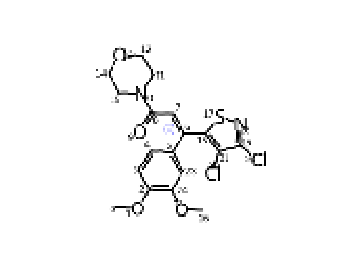 COc1ccc(/C(=C\C(=O)N2CCOCC2)c2snc(Cl)c2Cl)cc1OC